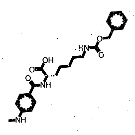 CNc1ccc(C(=O)N[C@@H](CCCCCNC(=O)OCc2ccccc2)C(=O)O)cc1